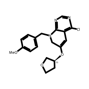 COc1ccc(CN2CC(O[C@H]3CCOC3)=Cc3c(Cl)ncnc32)cc1